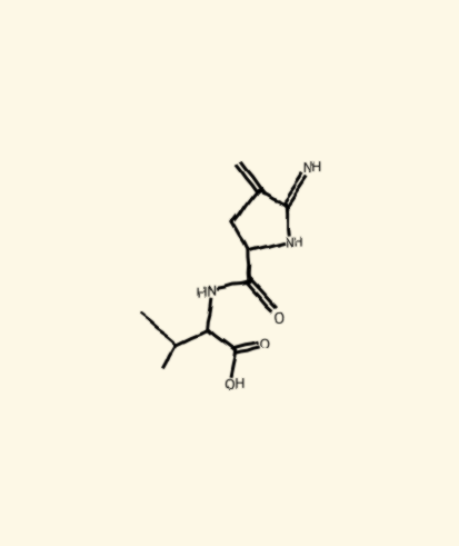 C=C1CC(C(=O)NC(C(=O)O)C(C)C)NC1=N